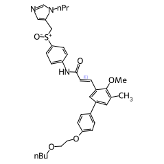 CCCCOCCOc1ccc(-c2cc(C)c(OC)c(/C=C/C(=O)Nc3ccc([S+]([O-])Cc4cncn4CCC)cc3)c2)cc1